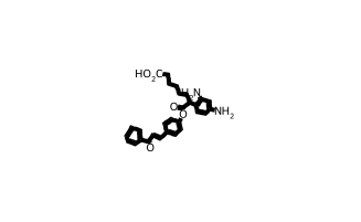 Nc1ccc(C(CCCCCC(=O)O)C(=O)Oc2ccc(C=CC(=O)c3ccccc3)cc2)c(N)c1